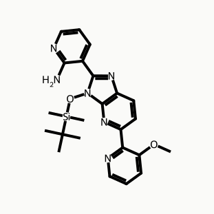 COc1cccnc1-c1ccc2nc(-c3cccnc3N)n(O[Si](C)(C)C(C)(C)C)c2n1